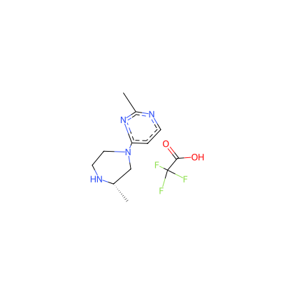 Cc1nccc(N2CCN[C@@H](C)C2)n1.O=C(O)C(F)(F)F